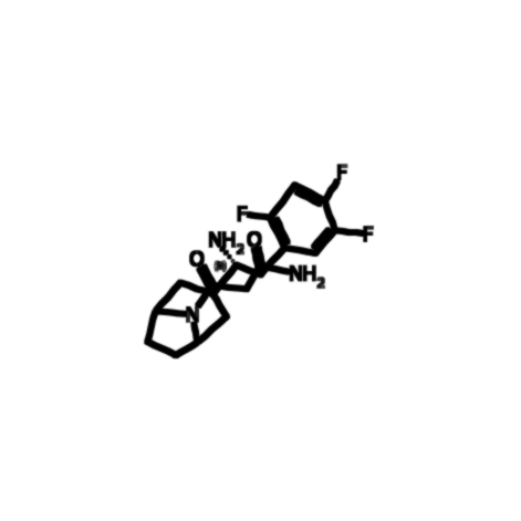 NC(=O)CC(=O)N1C2CCC1CC([C@H](N)Cc1cc(F)c(F)cc1F)C2